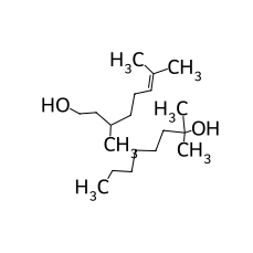 CC(C)=CCCC(C)CCO.CCCCCCC(C)(C)O